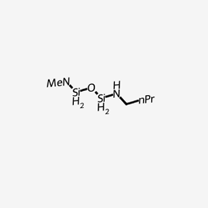 CCCCN[SiH2]O[SiH2]NC